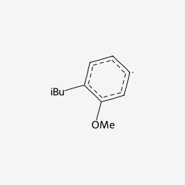 CCC(C)c1cc[c]cc1OC